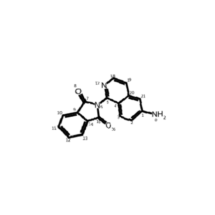 Nc1ccc2c(N3C(=O)c4ccccc4C3=O)nccc2c1